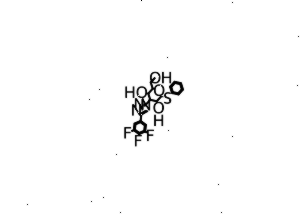 OCC1O[C@H](Sc2ccccc2)C(O)C(n2cc(-c3cc(F)c(F)c(F)c3)nn2)[C@H]1O